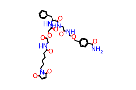 NC(=O)c1ccc(COCNC(=O)CNC(=O)[C@H](Cc2ccccc2)NC(=O)COC(=O)CNC(=O)CCCCCN2C(=O)C=CC2=O)cc1